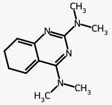 CN(C)c1nc(N(C)C)c2c(n1)=CCCC=2